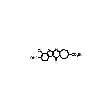 CCOC(=O)C1CCc2nc3sc4c(c3c(=O)n2CC1)CCC(C=O)=C4Cl